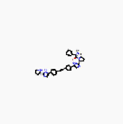 CCN(CC)[C@@H](C(=O)N1CCC[C@H]1c1ncc(-c2ccc(C#Cc3ccc(-c4cnc([C@@H]5CCCN5)[nH]4)cc3)cc2)[nH]1)c1ccccc1